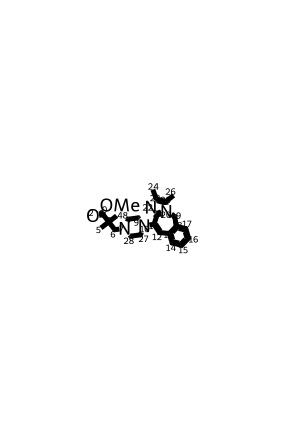 COC(=O)C(C)(C)CN1CCN(C2=Cc3ccccc3Cn3c2nc(C)c3C)CC1